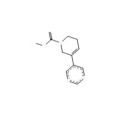 CC(C)(C)OC(=O)N1CCC=C(c2cncnc2)C1